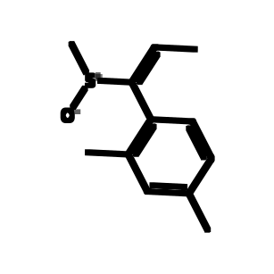 C/C=C(\c1ccc(C)cc1C)[S+](C)[O-]